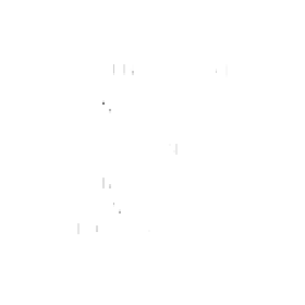 CN(N)C(=O)C1CCN(c2cc(Cl)cc(N)c2C=N)C1